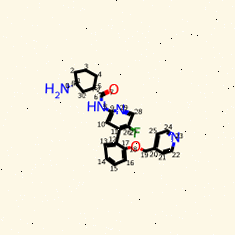 N[C@@H]1CCC[C@H](C(=O)Nc2cc(-c3ccccc3OCc3ccncc3)c(F)cn2)C1